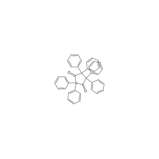 O=C1C(c2ccccc2)(c2ccccc2)C(c2ccccc2)(c2ccccc2)C(=O)[Si]1(c1ccccc1)c1ccccc1